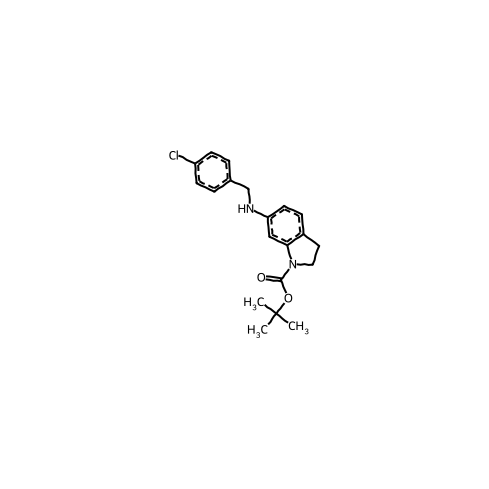 CC(C)(C)OC(=O)N1CCc2ccc(NCc3ccc(Cl)cc3)cc21